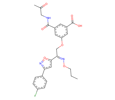 CCCON=C(COc1cc(C(=O)O)cc(C(=O)NCC(C)=O)c1)c1cc(-c2ccc(F)cc2)no1